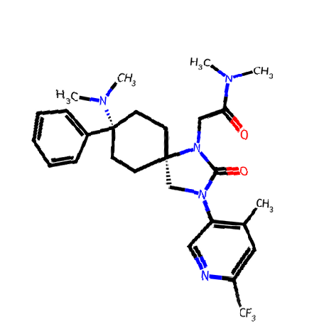 Cc1cc(C(F)(F)F)ncc1N1C[C@]2(CC[C@@](c3ccccc3)(N(C)C)CC2)N(CC(=O)N(C)C)C1=O